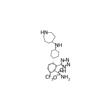 NS(=O)(=O)c1c(C(F)(F)F)ccc([C@H]2CC[C@H](NC3CCCNCC3)CC2)c1-c1nnn[nH]1